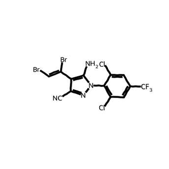 N#Cc1nn(-c2c(Cl)cc(C(F)(F)F)cc2Cl)c(N)c1/C(Br)=C/Br